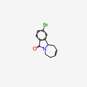 O=C1c2ccc(Br)cc2C2CC=CCCN12